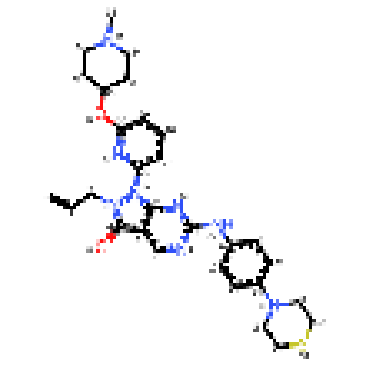 C=CCn1c(=O)c2cnc(Nc3ccc(N4CCSCC4)cc3)nc2n1-c1cccc(OC2CCN(C)CC2)n1